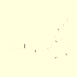 CCCCCCCCCCCCCC(=O)SCC(=O)OCC(CC)(COC(=O)CSC(=O)CCCCCCCCCCCCC)COC(=O)CSC(=O)CCCCCCCCCCCCC